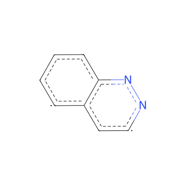 [c]1cc2[c]cccc2nn1